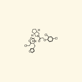 O=C(CCl)[C@H](Cc1ccoc1)NC(=O)[C@@H]1[C@H]2CCC[C@H]2CN1C(=O)COc1ccc(Cl)cc1Cl